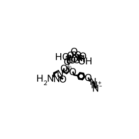 [N-]=[N+]=NCOc1ccc(COC2C[C@H](n3ccc(N)nc3=O)O[C@@H]2COP(=O)(O)OP(=O)(O)OP(=O)(O)O)cc1